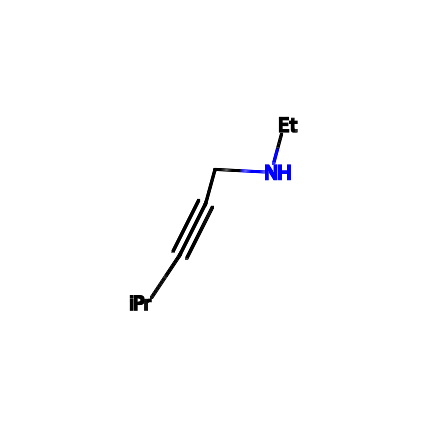 CCNCC#CC(C)C